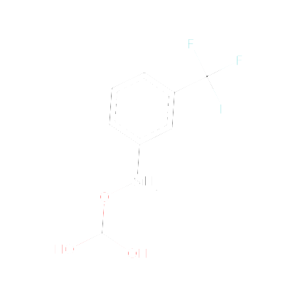 OC(O)O[SiH2]c1cccc(C(F)(F)F)c1